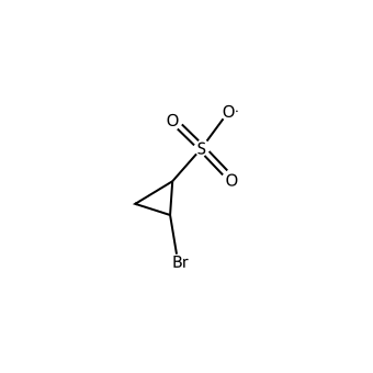 [O]S(=O)(=O)C1CC1Br